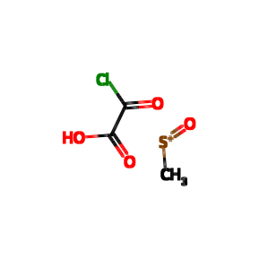 C[S+]=O.O=C(O)C(=O)Cl